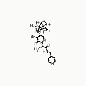 CC(C(=O)NCc1ccncc1)n1ncc(N[C@@H]2C[C@H]3C[C@H]([C@@H]2C)C3(C)C)c(Br)c1=O